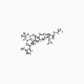 CC(C)n1nccc1C(=O)N[C@H](c1nc2nc([C@H](NC(=O)CCC(F)(F)F)C3CC3)ccn2c1F)C1CCC(F)(F)CC1